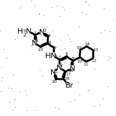 Nc1ncc(CNc2cc(C3CCCCC3)nc3c(Br)cnn23)cn1